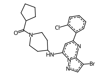 O=C(C1CCCC1)N1CCC(Nc2cc(-c3ccccc3Cl)nc3c(Br)cnn23)CC1